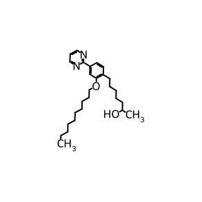 CCCCCCCCCCOc1cc(-c2ncccn2)ccc1CCCCCC(C)O